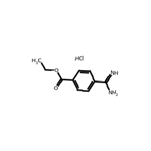 CCOC(=O)c1ccc(C(=N)N)cc1.Cl